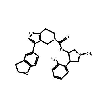 Cc1ccccc1C1CN(C)CC1NC(=O)N1CCc2[nH]nc(-c3ccc4c(c3)CCO4)c2C1